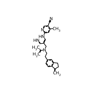 C=C1CCc2cc(CCN(C/C(C=N)=C/Nc3cc(C)c(C#N)cn3)C(=C)C)ccc21